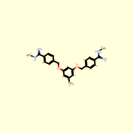 CCCNC(=N)c1ccc(COc2cc(C)cc(OCc3ccc(C(=N)NCCC)cc3)c2)cc1